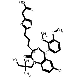 COc1cccc([C@H]2O[C@H](CCCc3nc(CC(=O)O)cs3)C(=O)N(CC(C)(C)CO)c3ccc(Cl)cc32)c1OC